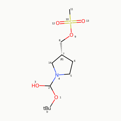 CC(C)(C)OC(O)N1CC[C@@H](COS(C)(=O)=O)C1